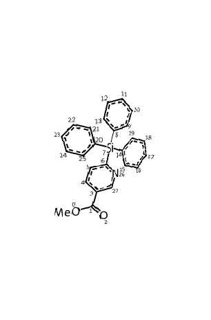 COC(=O)c1ccc([Si](c2ccccc2)(c2ccccc2)c2ccccc2)nc1